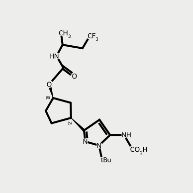 CC(CC(F)(F)F)NC(=O)O[C@@H]1CC[C@H](c2cc(NC(=O)O)n(C(C)(C)C)n2)C1